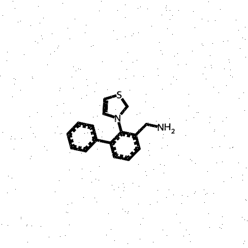 NCc1cccc(-c2ccccc2)c1N1C=CSC1